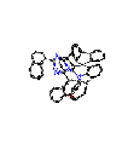 c1ccc2c(c1)-c1cccc(-c3nc(-c4cccc5ccccc45)nc(-c4cccc5ccccc45)n3)c1C21c2ccccc2-n2c3ccccc3c3cccc1c32